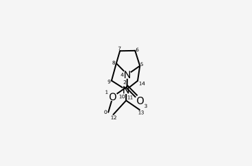 COC(=O)N1C2CCC1CN(C(C)C)C2